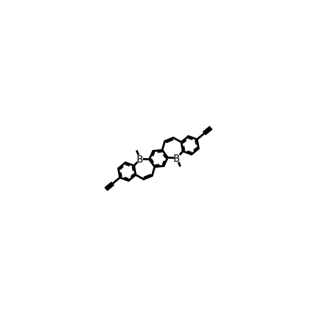 C#Cc1ccc2c(c1)C=Cc1cc3c(cc1B2C)C=Cc1cc(C#C)ccc1B3C